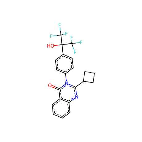 O=c1c2ccccc2nc(C2CCC2)n1-c1ccc(C(O)(C(F)(F)F)C(F)(F)F)cc1